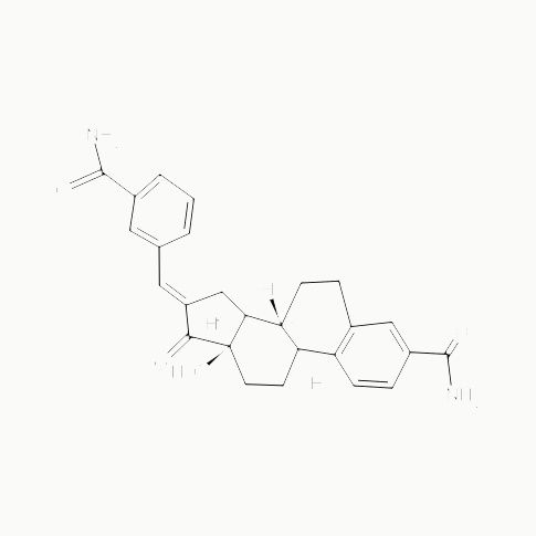 C[C@]12CC[C@@H]3c4ccc(C(N)=O)cc4CC[C@H]3[C@@H]1CC(=Cc1cccc(C(N)=O)c1)C2=O